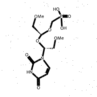 COC[C@@H](OCP(=O)(O)O)O[C@H](COC)n1ccc(=O)[nH]c1=O